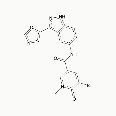 Cn1cc(C(=O)Nc2ccc3[nH]nc(-c4cnco4)c3c2)cc(Br)c1=O